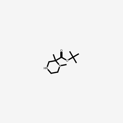 CN1CCNCC1(C)C(=O)OC(C)(C)C